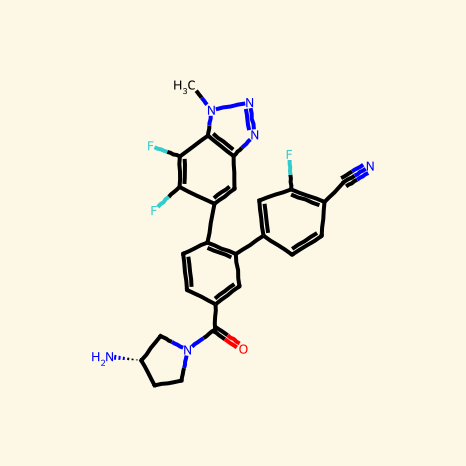 Cn1nnc2cc(-c3ccc(C(=O)N4CC[C@H](N)C4)cc3-c3ccc(C#N)c(F)c3)c(F)c(F)c21